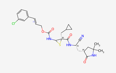 CC1(C)C[C@@H](C[C@@H](C#N)NC(=O)[C@@]2(CC3CC3)SC2NC(=O)OC/C=C/c2cccc(Cl)c2)C(=O)N1